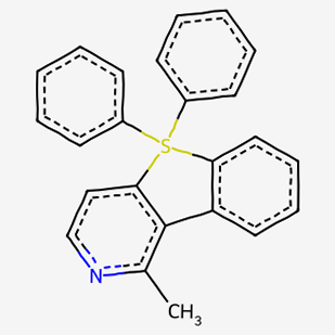 Cc1nccc2c1-c1ccccc1S2(c1ccccc1)c1ccccc1